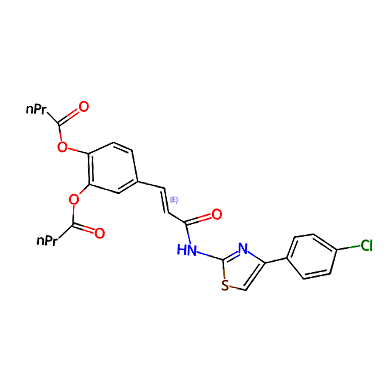 CCCC(=O)Oc1ccc(/C=C/C(=O)Nc2nc(-c3ccc(Cl)cc3)cs2)cc1OC(=O)CCC